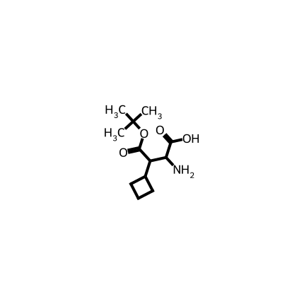 CC(C)(C)OC(=O)C(C1CCC1)C(N)C(=O)O